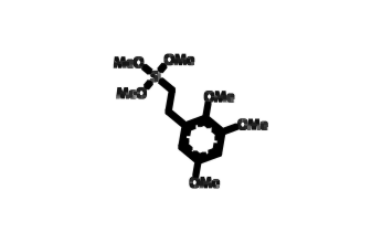 COc1cc(CC[Si](OC)(OC)OC)c(OC)c(OC)c1